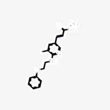 O=C(/C=C/c1cnc(NCCOc2ccccc2)c(I)c1)NO